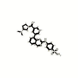 CN(C)[C@@H]1CCN(C(=O)c2cncc(-c3cccc4cnc(Nc5ccc(S(N)(=O)=O)cc5)nc34)c2)C1